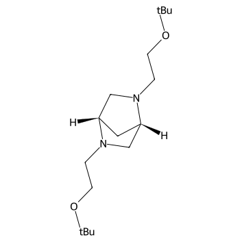 CC(C)(C)OCCN1C[C@@H]2C[C@H]1CN2CCOC(C)(C)C